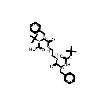 CC(C)(C)OC(=O)N[C@@H](Cc1ccccc1)C(=O)NCCNC(=O)[C@H](Cc1ccccc1)N(C(=O)O)C(C)(C)C